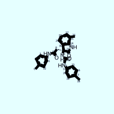 Cc1ccc(NC(=O)C[C@@]2(NC(=O)Nc3ccc(C)cc3)C(=O)Nc3c(C)cccc32)cc1